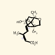 CC(=C/C(=O)O)/C=C/[C@]1(O)[C@@]2(C)CO[C@]1(C)C[C@@H](O)C2